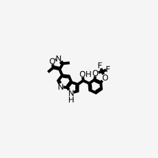 Cc1noc(C)c1-c1cnc2[nH]cc(C(O)c3cccc4c3OC(F)(F)O4)c2c1